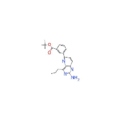 CCCc1nc(N)nc2ccc(-c3cccc(C(=O)OC(C)(C)C)c3)nc12